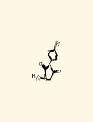 CC(C)c1ccc(N2C(=O)CN(C)C2=O)cn1